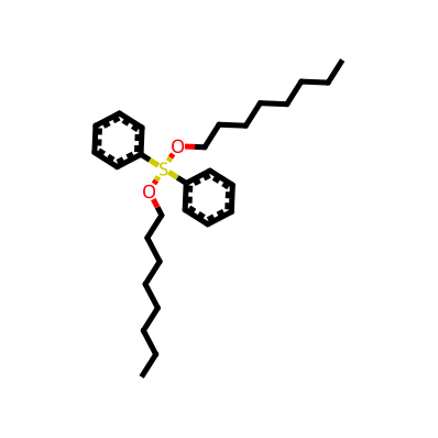 CCCCCCCCOS(OCCCCCCCC)(c1ccccc1)c1ccccc1